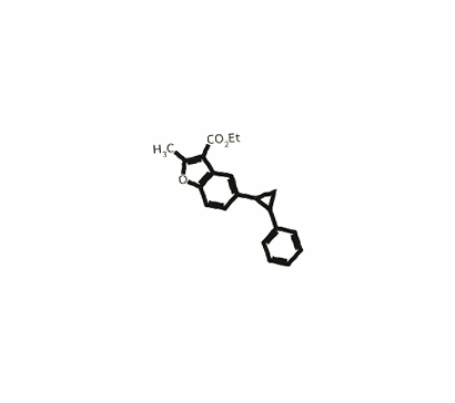 CCOC(=O)c1c(C)oc2ccc(C3CC3c3ccccc3)cc12